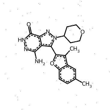 Cc1ccc2oc(-c3c4c(N)n[nH]c(=O)c4nn3C3CCOCC3)c(C)c2c1